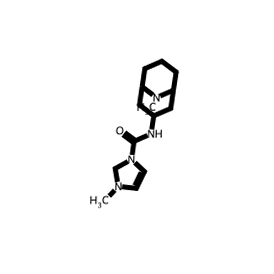 CN1C=CN(C(=O)NC2CC3CCCC(C2)N3C)C1